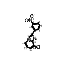 O=[N+]([O-])c1cccc(-c2cn3cccc(Cl)c3n2)c1